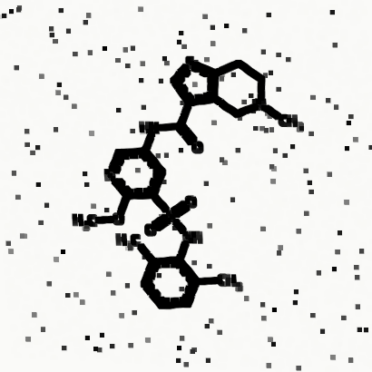 COc1ncc(NC(=O)c2csc3c2CN(C)CC3)cc1S(=O)(=O)Nc1c(C)cccc1C